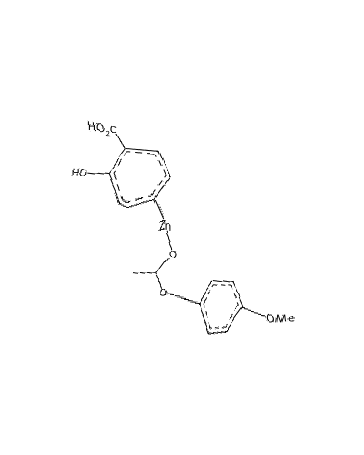 COc1ccc(OC(C)[O][Zn][c]2ccc(C(=O)O)c(O)c2)cc1